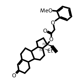 C#C[C@]1(OC(=O)COc2ccccc2OC)CCC2C3CCC4=CC(=O)CCC4C3CC[C@@]21CC